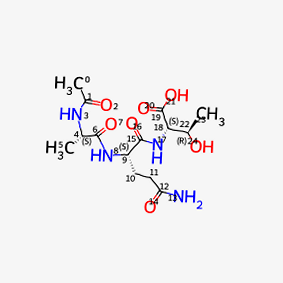 CC(=O)N[C@@H](C)C(=O)N[C@@H](CCC(N)=O)C(=O)N[C@H](C(=O)O)[C@@H](C)O